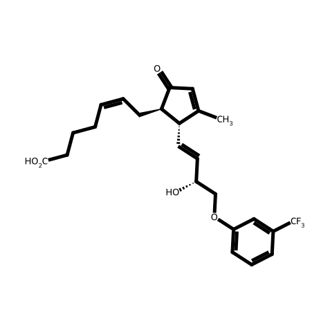 CC1=CC(=O)[C@H](C/C=C\CCCC(=O)O)[C@H]1/C=C/[C@@H](O)COc1cccc(C(F)(F)F)c1